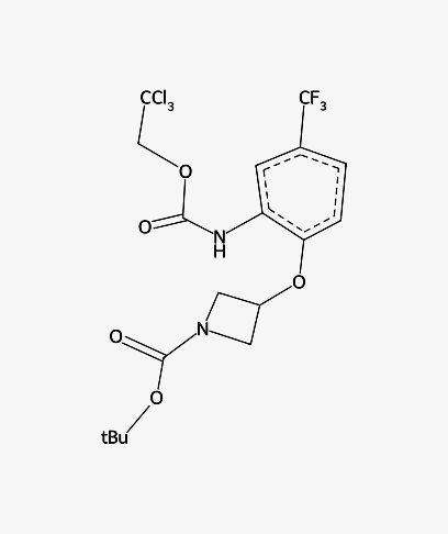 CC(C)(C)OC(=O)N1CC(Oc2ccc(C(F)(F)F)cc2NC(=O)OCC(Cl)(Cl)Cl)C1